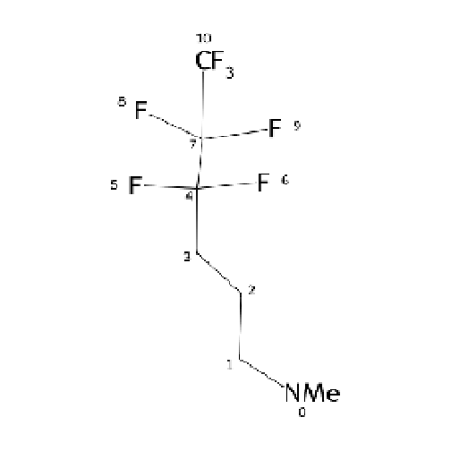 CNCCCC(F)(F)C(F)(F)C(F)(F)F